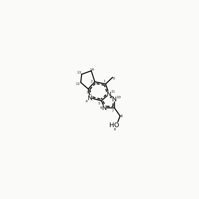 Cc1c2c(nc3nc(CO)nn13)CCC2